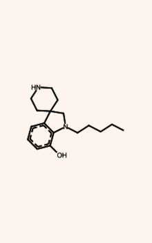 CCCCCN1CC2(CCNCC2)c2cccc(O)c21